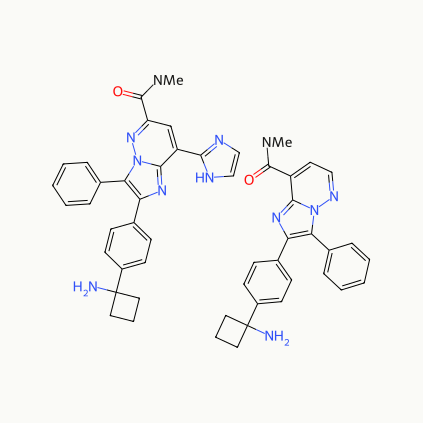 CNC(=O)c1cc(-c2ncc[nH]2)c2nc(-c3ccc(C4(N)CCC4)cc3)c(-c3ccccc3)n2n1.CNC(=O)c1ccnn2c(-c3ccccc3)c(-c3ccc(C4(N)CCC4)cc3)nc12